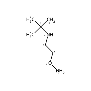 CC(C)(C)NCCON